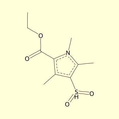 CCOC(=O)c1c(C)c([SH](=O)=O)c(C)n1C